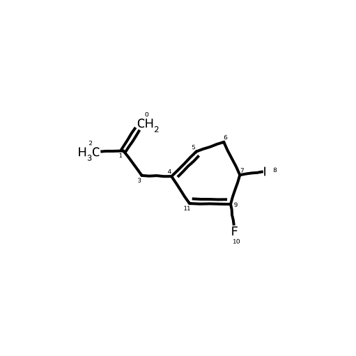 C=C(C)CC1=CCC(I)C(F)=C1